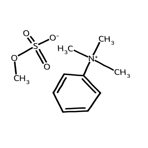 COS(=O)(=O)[O-].C[N+](C)(C)c1ccccc1